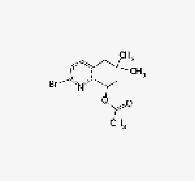 CC(=O)OC1CC(C)(C)Cc2ccc(Br)nc21